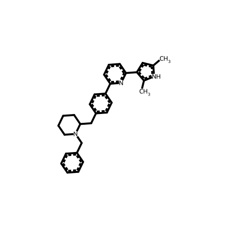 Cc1cc(-c2cccc(-c3ccc(CC4CCCCN4Cc4ccccc4)cc3)n2)c(C)[nH]1